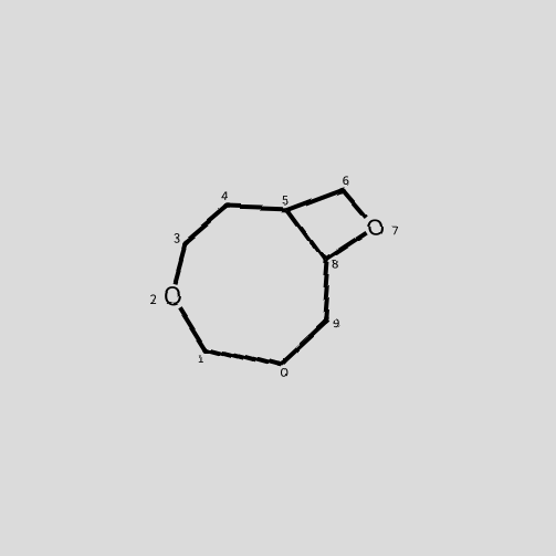 C1COCCC2COC2C1